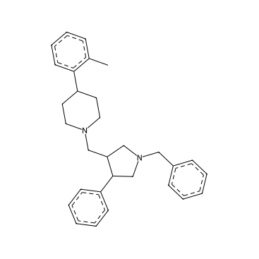 Cc1ccccc1C1CCN(CC2CN(Cc3ccccc3)CC2c2ccccc2)CC1